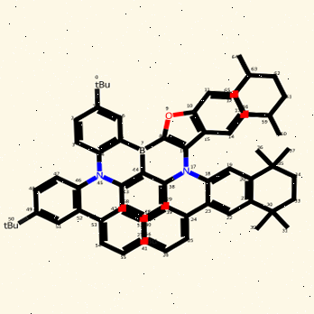 CC(C)(C)c1ccc2c(c1)B1c3oc4cc5c(cc4c3N(c3cc4c(cc3-c3ccccc3)C(C)(C)CCC4(C)C)c3cc(C(C)(C)C)cc(c31)N2c1ccc(C(C)(C)C)cc1-c1ccccc1)C1(C)CCC5(C)CC1